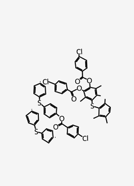 Cc1ccc(C)c(Sc2c(C)c(C)c(OC(=O)c3ccc(Cl)cc3)c(OC(=O)c3ccc(Cl)cc3)c2C)c1C.O=C(Oc1ccc(Sc2cc[c]cc2)cc1)c1ccc(Cl)cc1.[c]1ccc(Sc2cc[c]cc2)cc1